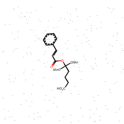 COC(CCCC(=O)O)(OC)OC(=O)C=Cc1ccccc1